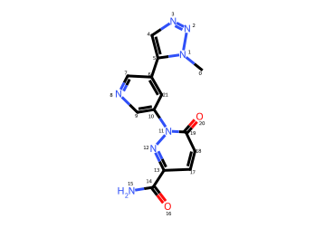 Cn1nncc1-c1cncc(-n2nc(C(N)=O)ccc2=O)c1